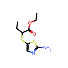 CCOC(=O)C(CC)Sc1cnc(N)s1